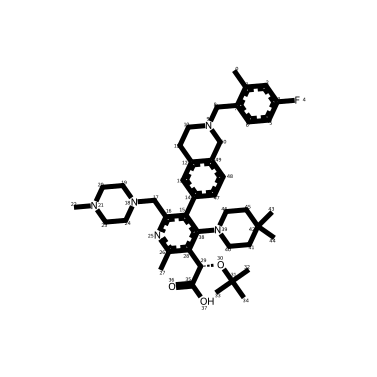 Cc1cc(F)ccc1CN1CCc2cc(-c3c(CN4CCN(C)CC4)nc(C)c([C@H](OC(C)(C)C)C(=O)O)c3N3CCC(C)(C)CC3)ccc2C1